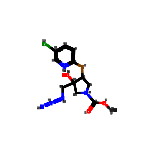 CC(C)(C)OC(=O)N1CC(Sc2ccc(Cl)cn2)C(O)(CN=[N+]=[N-])C1